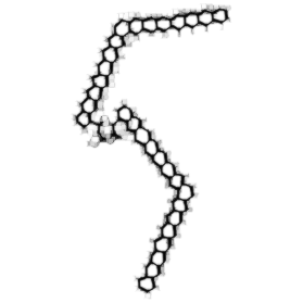 c1ccc2cc3cc4cc5cc6cc7cc8c(ccc9cc%10cc%11cc%12cc%13cc%14cc%15cccc(C(OC(c%16cccc%17cc%18cc%19cc%20cc%21cc%22cc%23ccc%24cc%25cc%26cc%27cc%28cc%29cc%30ccccc%30cc%29cc%28cc%27cc%26cc%25cc%24c%23cc%22cc%21cc%20cc%19cc%18cc%16%17)C%16CO%16)C%16CO%16)c%15cc%14cc%13cc%12cc%11cc%10cc98)cc7cc6cc5cc4cc3cc2c1